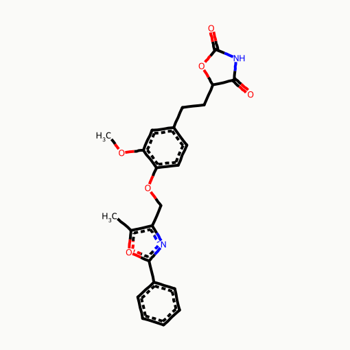 COc1cc(CCC2OC(=O)NC2=O)ccc1OCc1nc(-c2ccccc2)oc1C